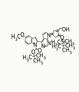 COc1ccc2c(c1)cc(-c1ncnc3c1ccn3[C@@H]1C[C@@H](CO)[C@@H](O[Si](C)(C)C(C)(C)C)C1)n2C(=O)OC(C)(C)C